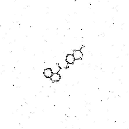 O=C1COc2cc(NC(=O)c3ccnc4ccccc34)ccc2N1